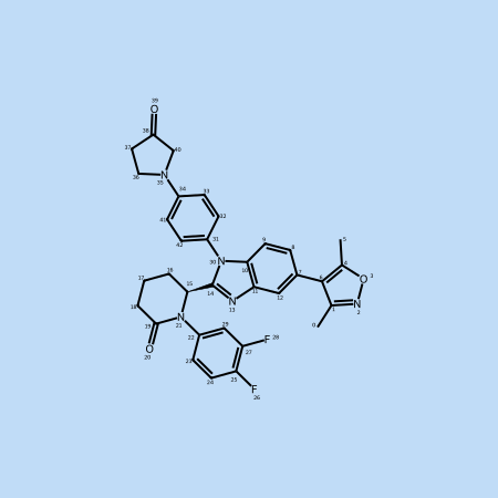 Cc1noc(C)c1-c1ccc2c(c1)nc([C@@H]1CCCC(=O)N1c1ccc(F)c(F)c1)n2-c1ccc(N2CCC(=O)C2)cc1